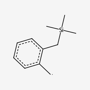 [CH2]c1ccccc1C[Si](C)(C)C